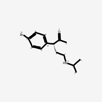 CC(=O)[C@H](CCNC(C)C)c1ccc(Br)cc1